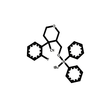 CC(C)(C)[Si](OCC1COCCC1(C#N)c1ccccc1F)(c1ccccc1)c1ccccc1